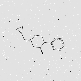 C[C@H]1CN(CC2CC2)CCC1c1ccccc1